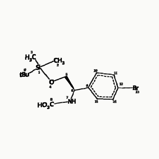 CC(C)(C)[Si](C)(C)OC[C@H](NC(=O)O)c1ccc(Br)cc1